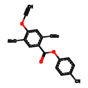 C#COc1cc(OC)c(C(=O)Oc2ccc(C#N)cc2)cc1OC